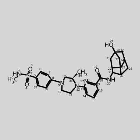 CNS(=O)(=O)c1ccc(N2CCN(c3cccc(C(=O)NC4C5CC6CC4CC(O)(C6)C5)n3)[C@H](C)C2)cc1